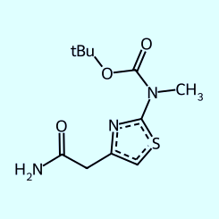 CN(C(=O)OC(C)(C)C)c1nc(CC(N)=O)cs1